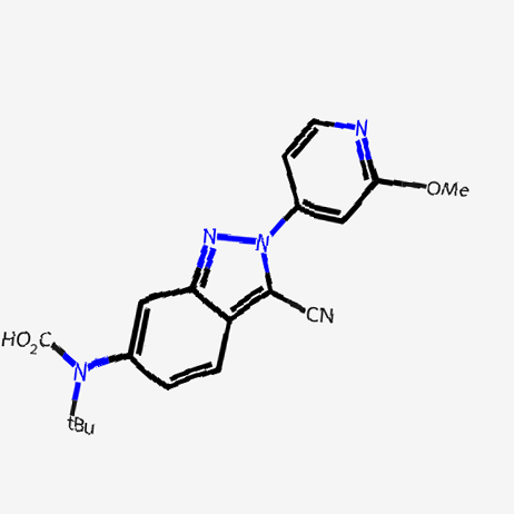 COc1cc(-n2nc3cc(N(C(=O)O)C(C)(C)C)ccc3c2C#N)ccn1